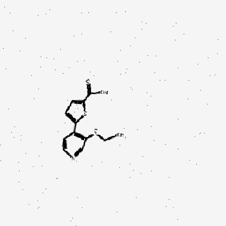 CCNc1cnccc1-c1ccc(C(=O)O)s1